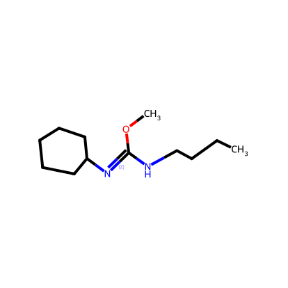 CCCCN/C(=N/C1CCCCC1)OC